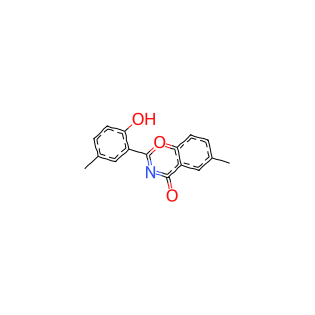 Cc1ccc(O)c(-c2nc(=O)c3cc(C)ccc3o2)c1